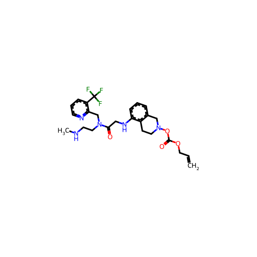 C=CCOC(=O)ON1CCc2c(cccc2NCC(=O)N(CCNC)Cc2ncccc2C(F)(F)F)C1